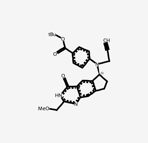 C#CCN(c1ccc(C(=O)OC(C)(C)C)cc1)[C@H]1CCc2cc3nc(COC)[nH]c(=O)c3cc21